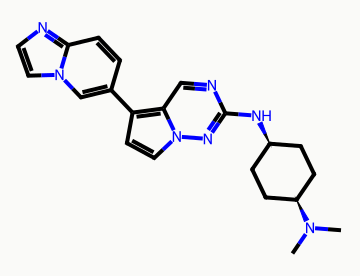 CN(C)[C@H]1CC[C@@H](Nc2ncc3c(-c4ccc5nccn5c4)ccn3n2)CC1